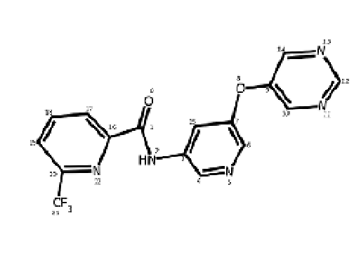 O=C(Nc1cncc(Oc2cncnc2)c1)c1cccc(C(F)(F)F)n1